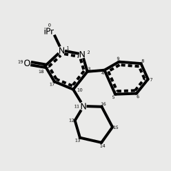 CC(C)n1nc(-c2ccccc2)c(N2CCCCC2)cc1=O